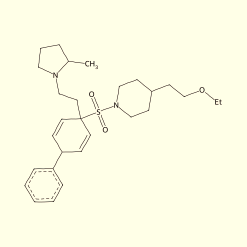 CCOCCC1CCN(S(=O)(=O)C2(CCN3CCCC3C)C=CC(c3ccccc3)C=C2)CC1